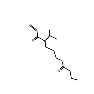 C=CC(=O)N(CCCOC(=O)CCC)C(C)C